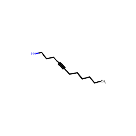 CCCCCCC#CCCC[NH]